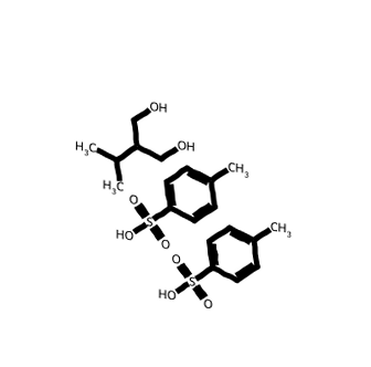 CC(C)C(CO)CO.Cc1ccc(S(=O)(=O)O)cc1.Cc1ccc(S(=O)(=O)O)cc1